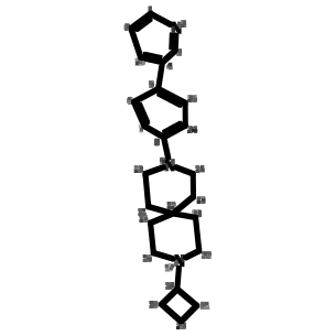 c1cncc(-c2ccc(N3CCC4(CC3)CCN(C3CCC3)CC4)cc2)c1